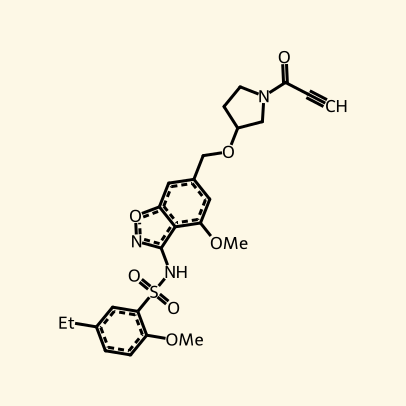 C#CC(=O)N1CCC(OCc2cc(OC)c3c(NS(=O)(=O)c4cc(CC)ccc4OC)noc3c2)C1